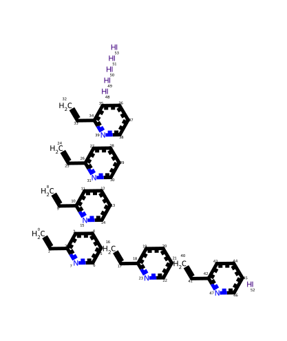 C=Cc1ccccn1.C=Cc1ccccn1.C=Cc1ccccn1.C=Cc1ccccn1.C=Cc1ccccn1.C=Cc1ccccn1.I.I.I.I.I.I